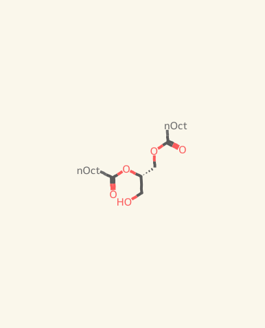 CCCCCCCCC(=O)OC[C@H](CO)OC(=O)CCCCCCCC